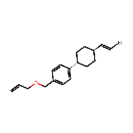 C=CCOCc1ccc([C@H]2CC[C@H](C=CCC)CC2)cc1